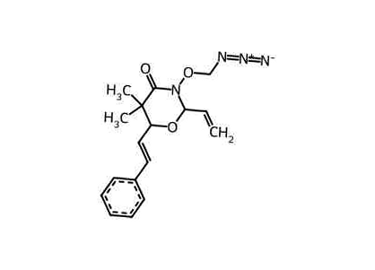 C=CC1OC(/C=C/c2ccccc2)C(C)(C)C(=O)N1OCN=[N+]=[N-]